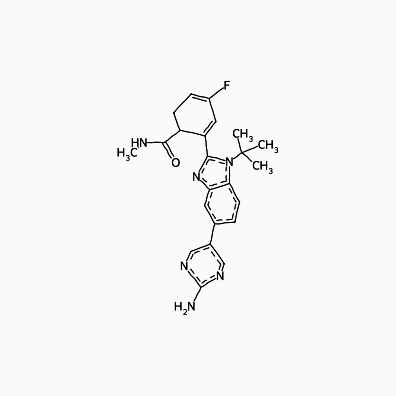 CNC(=O)C1CC=C(F)C=C1c1nc2cc(-c3cnc(N)nc3)ccc2n1C(C)(C)C